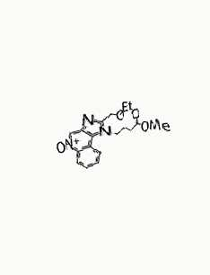 CCOCc1nc2c[n+]([O-])c3ccccc3c2n1CCCC(=O)OC